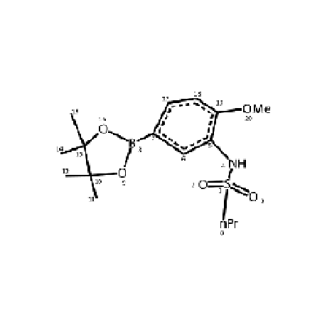 CCCS(=O)(=O)Nc1cc(B2OC(C)(C)C(C)(C)O2)ccc1OC